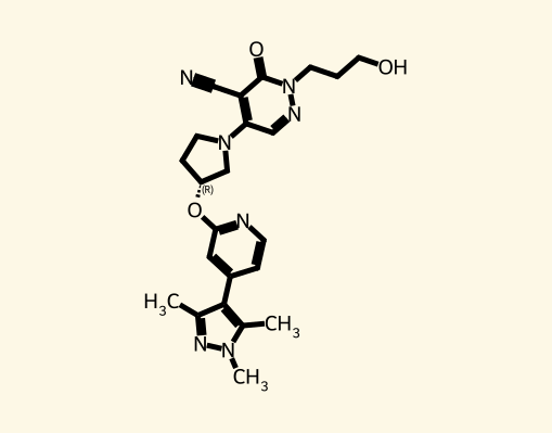 Cc1nn(C)c(C)c1-c1ccnc(O[C@@H]2CCN(c3cnn(CCCO)c(=O)c3C#N)C2)c1